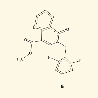 COC(=O)c1cn(Cc2c(F)cc(Br)cc2F)c(=O)c2cccnc12